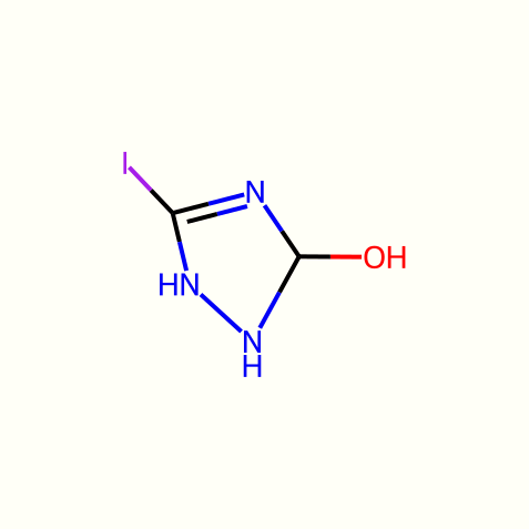 OC1N=C(I)NN1